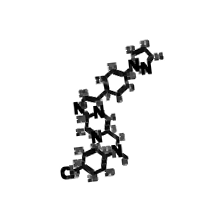 CN(Cc1cn2c(-c3ccc(-n4cccn4)cc3)cnc2cn1)c1ccc(Cl)cc1